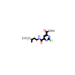 CCOC(=O)[C@H](C)CCNC(=O)c1cc(C(=O)OC)nc(Cl)n1